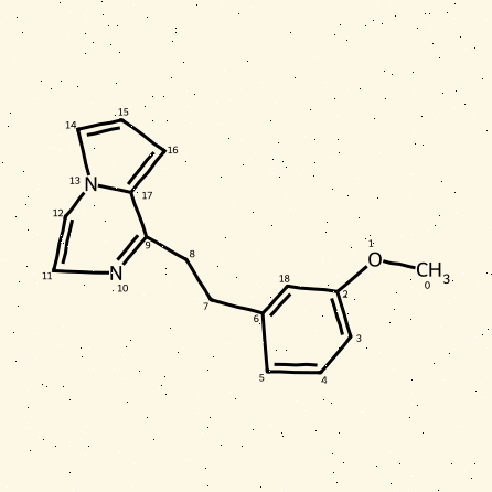 COc1cccc(CCc2nccn3cccc23)c1